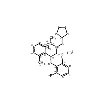 Br.CON(CC1CCCC1)CC(Cc1c(F)cccc1F)c1c(C)cccc1C